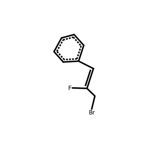 FC(=Cc1ccccc1)CBr